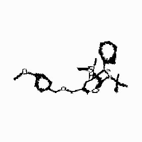 C=C(COCc1ccc(OC)cc1)CC1([SiH](C)C)C(=O)N(C(C)(C)C)[C@@H]1c1ccccc1